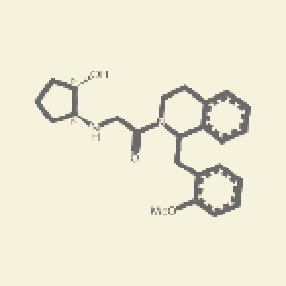 COc1ccccc1CC1c2ccccc2CCN1C(=O)CN[C@H]1CCC[C@@H]1O